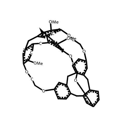 COc1cc2c3cc1OCCOc1ccc4c(c1)Cc1ccc5cc1Cc1ccc(cc1C4)OCCOc1cc(c(cc1OC)Cc1cc(c(OC)cc1C3)OCCO5)C2